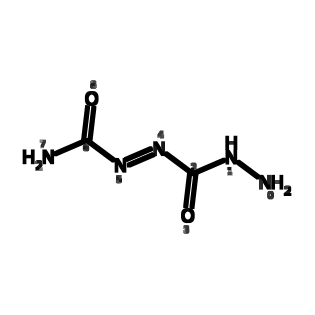 NNC(=O)N=NC(N)=O